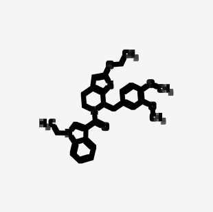 CCOc1cc2c(s1)C(Cc1ccc(OC)c(OC)c1)N(C(=O)c1cn(CC)c3ccccc13)CC2